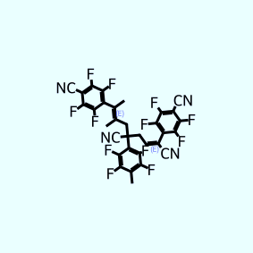 C/C(CC(C#N)(C/C=C(/C#N)c1c(F)c(F)c(C#N)c(F)c1F)c1c(F)c(F)c(C)c(F)c1F)=C(/C)c1c(F)c(F)c(C#N)c(F)c1F